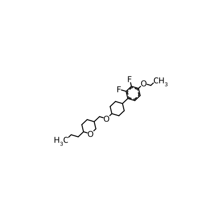 CCCC1CCC(COC2CCC(c3ccc(OCC)c(F)c3F)CC2)CO1